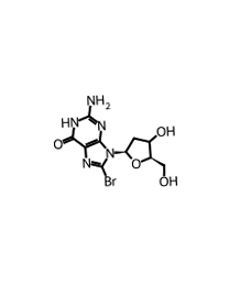 Nc1nc2c(nc(Br)n2[C@H]2CC(O)[C@@H](CO)O2)c(=O)[nH]1